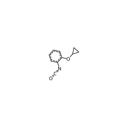 O=C=Nc1ccccc1OC1CC1